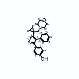 Oc1ccc(-c2noc(C3(CN4CCOCC4)CC3)c2-c2ccccc2)cc1